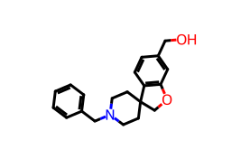 OCc1ccc2c(c1)OCC21CCN(Cc2ccccc2)CC1